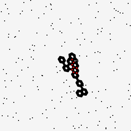 c1ccc(-c2ccccc2-c2c(-c3ccccc3)cccc2N(c2ccc(-c3ccc(-c4cccc5ccccc45)cc3)cc2)c2ccc3sc4ccccc4c3c2)cc1